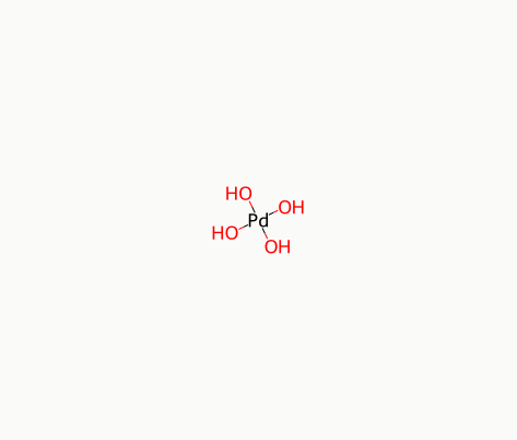 [OH][Pd]([OH])([OH])[OH]